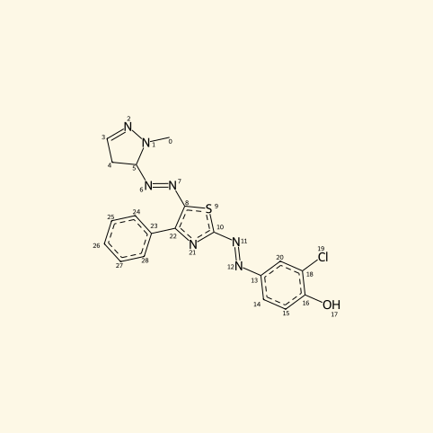 CN1N=CCC1/N=N/c1sc(/N=N/c2ccc(O)c(Cl)c2)nc1-c1ccccc1